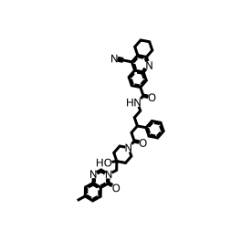 Cc1ccc2c(=O)n(CC3(O)CCN(C(=O)CC(CCNC(=O)c4ccc5c(C#N)c6c(nc5c4)CCCC6)c4ccccc4)CC3)cnc2c1